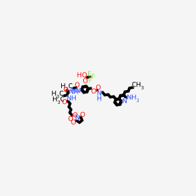 CCCCCc1cc2c(CCCCCNC(=O)OCc3ccc(NC(=O)C(C)NC(=O)C(NC(=O)CCCCC(=O)ON4C(=O)CCC4=O)C(C)C)cc3)cccc2nc1N.O=C(O)C(F)(F)F